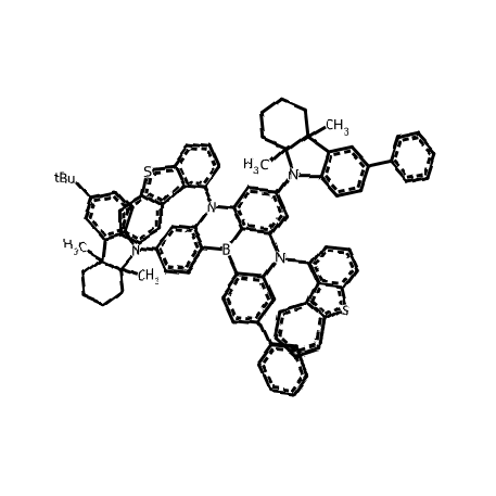 CC(C)(C)c1ccc2c(c1)C1(C)CCCCC1(C)N2c1ccc2c(c1)N(c1cccc3sc4ccccc4c13)c1cc(N3c4ccc(-c5ccccc5)cc4C4(C)CCCCC34C)cc3c1B2c1ccc(-c2ccccc2)cc1N3c1cccc2sc3ccccc3c12